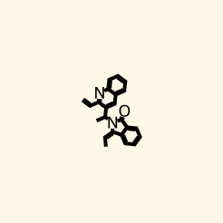 C=Cc1nc2ccccc2cc1C(C)N1C(=O)c2ccccc2C1=CC